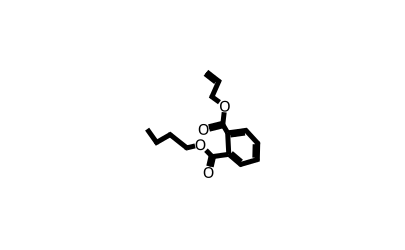 C=CCOC(=O)c1ccccc1C(=O)OCCCC